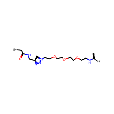 C=C(NCCOCCOCCOCCn1cc(CNC(=O)CC(C)C)nn1)C(C)C